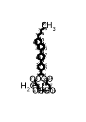 C=C(CC(=O)O)C(=O)OCC(COC(=O)C(=C)CC(=O)O)C1CCC(C2CCC(c3ccc4cc(CCCCC)ccc4c3)CC2)CC1